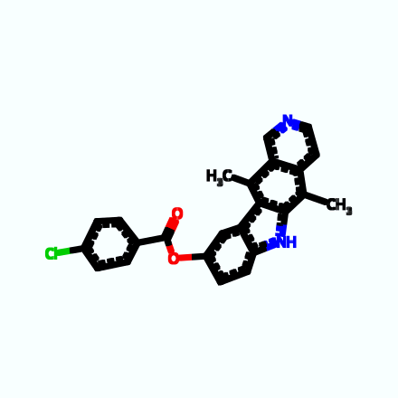 Cc1c2ccncc2c(C)c2c1[nH]c1ccc(OC(=O)c3ccc(Cl)cc3)cc12